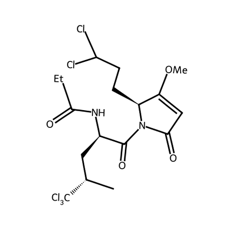 CCC(=O)N[C@H](C[C@H](C)C(Cl)(Cl)Cl)C(=O)N1C(=O)C=C(OC)[C@@H]1CCC(Cl)Cl